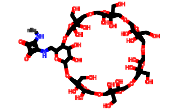 CCCCNc1c(NCC2OC3OC4C(CO)OC(OC5C(CO)OC(OC6C(CO)OC(OC7C(CO)OC(OC8C(CO)OC(OC9C(CO)OC(OC2C(O)C3O)C(O)C9O)C(O)C8O)C(O)C7O)C(O)C6O)C(O)C5O)C(O)C4O)c(=O)c1=O